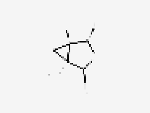 CC[C@H]1OC(Br)[C@@]2(OC(C)=O)C[C@]12F